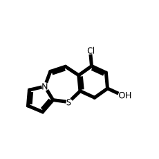 OC1C=C(Cl)C2=C(C1)Sc1cccn1C=C2